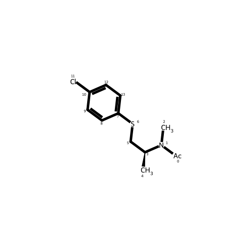 CC(=O)N(C)[C@@H](C)CSc1ccc(Cl)cc1